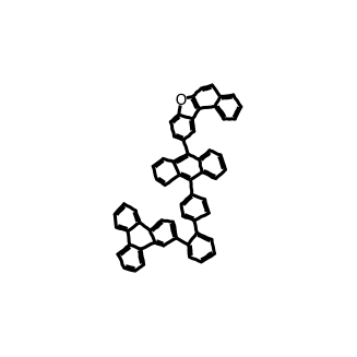 c1ccc(-c2ccc3c4ccccc4c4ccccc4c3c2)c(-c2ccc(-c3c4ccccc4c(-c4ccc5oc6ccc7ccccc7c6c5c4)c4ccccc34)cc2)c1